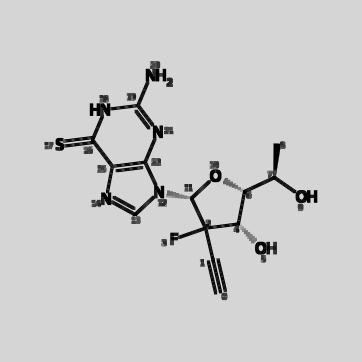 C#CC1(F)[C@@H](O)[C@@H]([C@@H](C)O)O[C@H]1n1cnc2c(=S)[nH]c(N)nc21